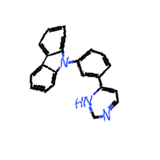 C1=NCNC(c2cccc(-n3c4ccccc4c4ccccc43)c2)=C1